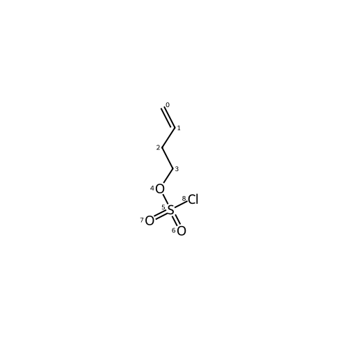 C=CCCOS(=O)(=O)Cl